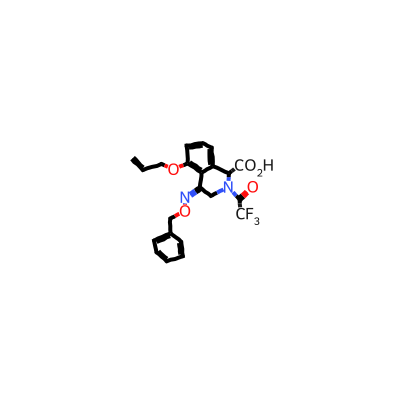 C=CCOc1cccc2c1C(=NOCc1ccccc1)CN(C(=O)C(F)(F)F)C2C(=O)O